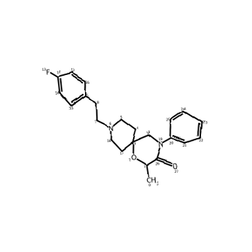 CC1OC2(CCN(CCc3ccc(F)cc3)CC2)CN(c2ccccc2)C1=O